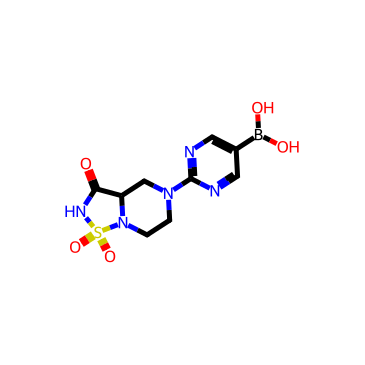 O=C1NS(=O)(=O)N2CCN(c3ncc(B(O)O)cn3)CC12